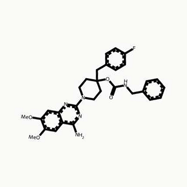 COc1cc2nc(N3CCC(Cc4ccc(F)cc4)(OC(=O)NCc4ccccc4)CC3)nc(N)c2cc1OC